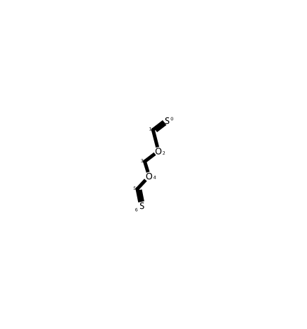 S=COCOC=S